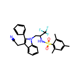 Cc1cc(C)c(S(=O)(=O)NC(Cn2c(-c3ccccc3)c(CC#N)c3ccccc32)C(F)(F)F)c(C)c1